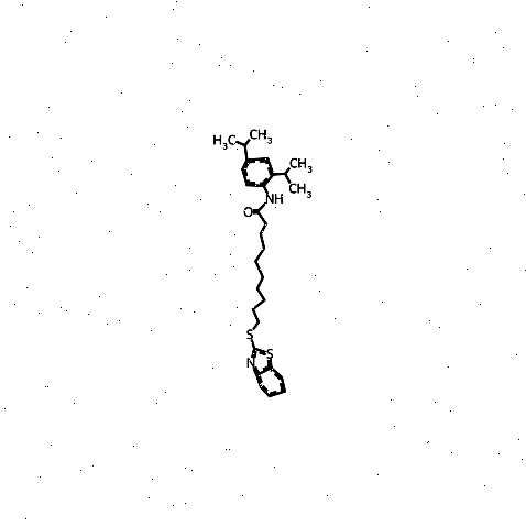 CC(C)c1ccc(NC(=O)CCCCCCCCCSc2nc3ccccc3s2)c(C(C)C)c1